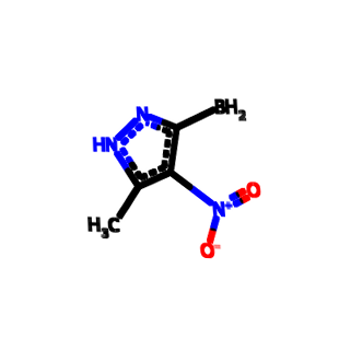 Bc1n[nH]c(C)c1[N+](=O)[O-]